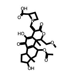 COCC1OC(=O)/C(=C\N2CCC2C(=O)O)C2=C(O)C(=O)C3=C(C(OC(C)=O)CC4(C)C(O)CCC34)C21C